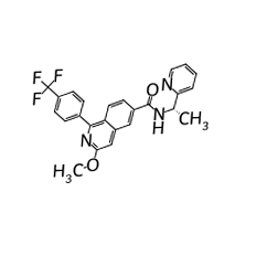 COc1cc2cc(C(=O)N[C@@H](C)c3ccccn3)ccc2c(-c2ccc(C(F)(F)F)cc2)n1